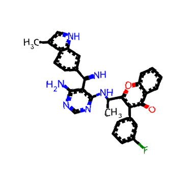 Cc1c[nH]c2cc(C(=N)c3c(N)ncnc3NC(C)c3oc4ccccc4c(=O)c3-c3cccc(F)c3)ccc12